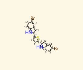 Brc1ccc2[nH]c(-c3ccc(-c4cc5cc(Br)ccc5[nH]4)s3)cc2c1